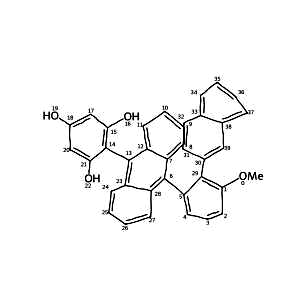 COc1cccc(-c2c3ccccc3c(-c3c(O)cc(O)cc3O)c3ccccc23)c1-c1ccc2ccccc2c1